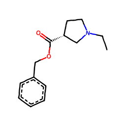 CCN1CC[C@@H](C(=O)OCc2ccccc2)C1